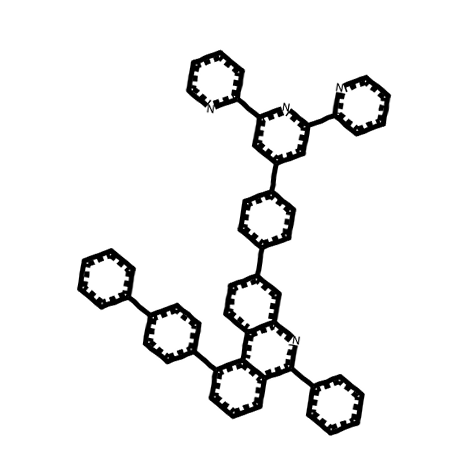 c1ccc(-c2ccc(-c3cccc4c(-c5ccccc5)nc5cc(-c6ccc(-c7cc(-c8ccccn8)nc(-c8ccccn8)c7)cc6)ccc5c34)cc2)cc1